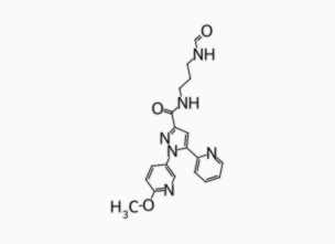 COc1ccc(-n2nc(C(=O)NCCCNC=O)cc2-c2ccccn2)cn1